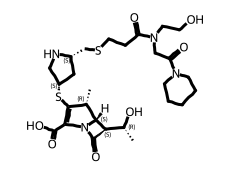 C[C@@H](O)[C@H]1C(=O)N2C(C(=O)O)=C(S[C@@H]3CN[C@H](CSCCC(=O)N(CCO)CC(=O)N4CCCCC4)C3)[C@H](C)[C@H]12